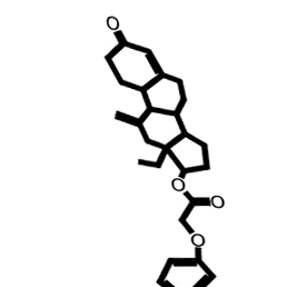 C=C1CC2(CC)C(OC(=O)COc3ccccc3)CCC2C2CCC3=CC(=O)CCC3C12